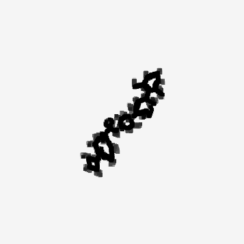 Cc1cccc(C)c1-c1ccc(N2CCN(CC(=O)N3CCN(C4CCC4)CC3)CC2)nn1